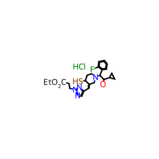 CCOC(=O)CCn1ncc(C=C2CN(C(C(=O)C3CC3)c3ccccc3F)CCC2S)n1.Cl